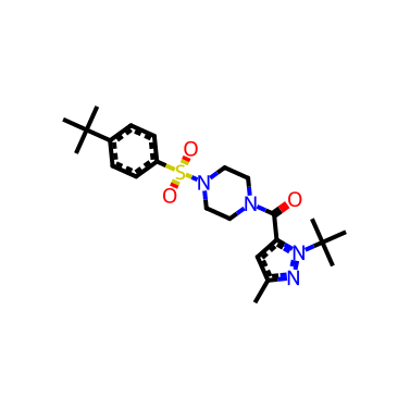 Cc1cc(C(=O)N2CCN(S(=O)(=O)c3ccc(C(C)(C)C)cc3)CC2)n(C(C)(C)C)n1